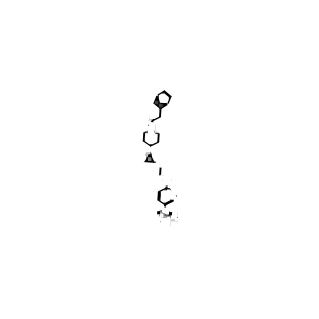 CS(=O)(=O)c1ccc(OCC[C@@H]2C[C@@H]2C2CCN(C(=O)CC3CC4C=CC3C4)CC2)nc1